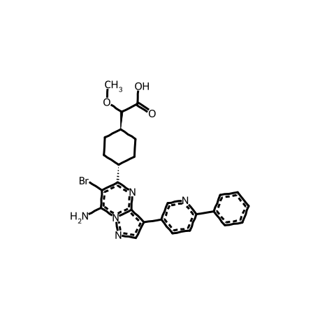 COC(C(=O)O)[C@H]1CC[C@H](c2nc3c(-c4ccc(-c5ccccc5)nc4)cnn3c(N)c2Br)CC1